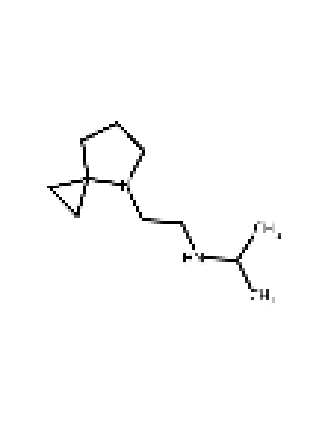 CC(C)NCCN1CCCC12CC2